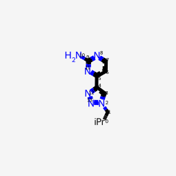 CC(C)Cn1cc(-c2ccnc(N)n2)nn1